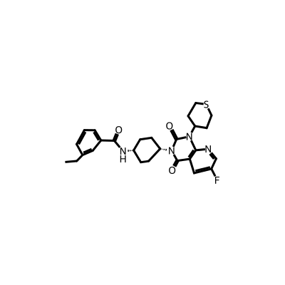 CCc1cccc(C(=O)N[C@H]2CC[C@@H](n3c(=O)c4cc(F)cnc4n(C4CCSCC4)c3=O)CC2)c1